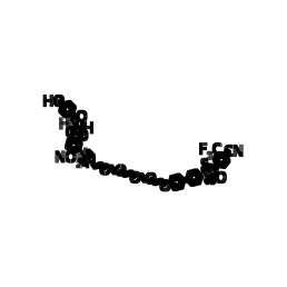 CC1(C)C(=O)N(c2ccc(C#N)c(C(F)(F)F)c2)C(=S)N1c1ccc(-c2ccc(OCCOCCOCCOCCOCCN3CCN(c4cc(S(=O)(=O)NNC(=O)c5ccc(O)cc5)ccc4[N+](=O)[O-])CC3)cc2)cc1